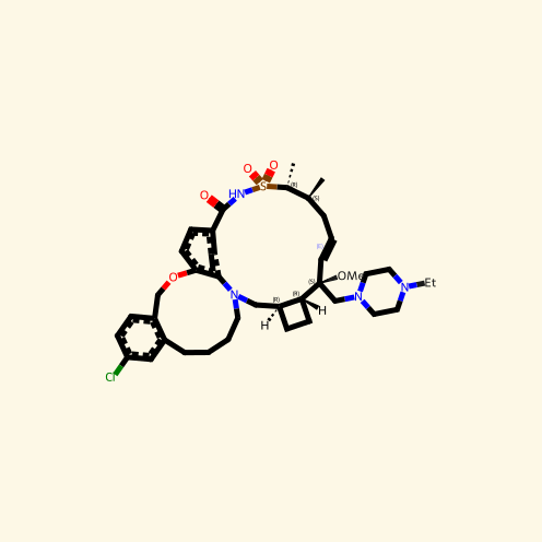 CCN1CCN(C[C@@]2(OC)/C=C/C[C@H](C)[C@@H](C)S(=O)(=O)NC(=O)c3ccc4c(c3)N(CCCCc3cc(Cl)ccc3CO4)C[C@@H]3CC[C@H]32)CC1